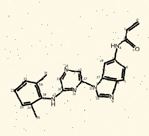 C=CC(=O)Nc1ccc2ncn(-c3cncc(Nc4c(C)cccc4C)n3)c2c1